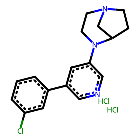 Cl.Cl.Clc1cccc(-c2cncc(N3CCN4CCC3C4)c2)c1